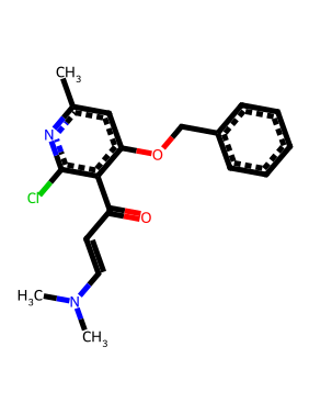 Cc1cc(OCc2ccccc2)c(C(=O)/C=C/N(C)C)c(Cl)n1